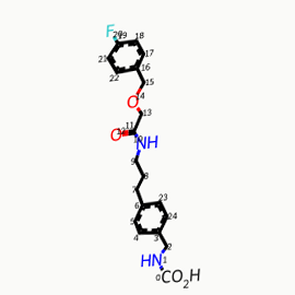 O=C(O)NCc1ccc(CCCNC(=O)COCc2ccc(F)cc2)cc1